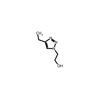 CCc1cn(CCO)nn1